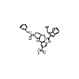 COC(=O)c1cc(OC)c2c(c1)nc(-c1cc3cccnc3n1CC1CC1)n2CC1CCN(C(=O)OCc2ccccc2)CC1